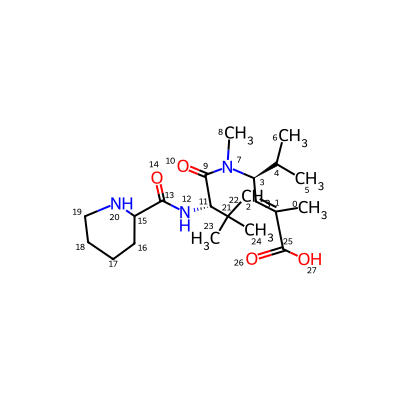 C/C(=C\[C@H](C(C)C)N(C)C(=O)[C@@H](NC(=O)C1CCCCN1)C(C)(C)C)C(=O)O